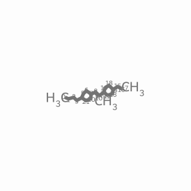 CCCCC1CCC(/C=C(\C)C2CCC(CCC)CC2)CC1